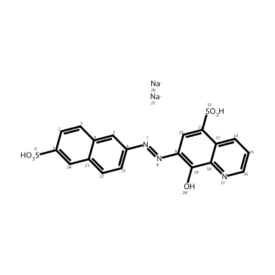 O=S(=O)(O)c1ccc2cc(N=Nc3cc(S(=O)(=O)O)c4cccnc4c3O)ccc2c1.[Na].[Na]